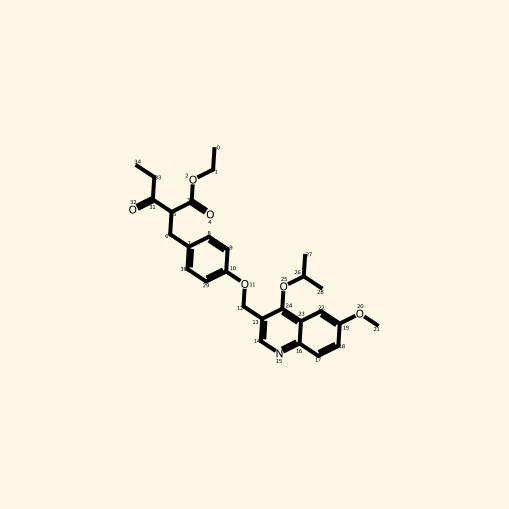 CCOC(=O)C(Cc1ccc(OCc2cnc3ccc(OC)cc3c2OC(C)C)cc1)C(=O)CC